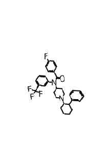 O=C(c1ccc(F)cc1)N(c1cccc(C(F)(F)F)c1)C1CCN(C2CCCCC2c2ccccc2)CC1